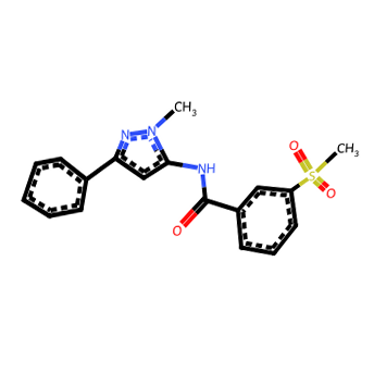 Cn1nc(-c2ccccc2)cc1NC(=O)c1cccc(S(C)(=O)=O)c1